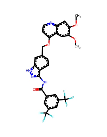 COc1cc2nccc(OCc3ccc4c(NC(=O)c5cc(C(F)(F)F)cc(C(F)(F)F)c5)n[nH]c4c3)c2cc1OC